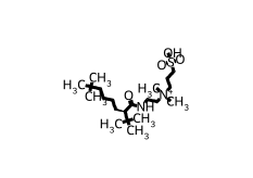 CC(C)(C)CCCC[C@@H](C(=O)NCC[N+](C)(C)CCCS(=O)(=O)O)C(C)(C)C